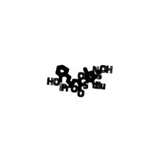 Cc1cc(SC2=C(O)CC(CCc3ccccc3CO)(C(C)C)OC2=O)c(C(C)(C)C)c2sc(O)nc12